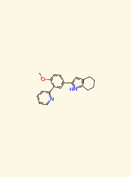 COc1ccc(-c2cc3c([nH]2)CCCC3)cc1-c1ccccn1